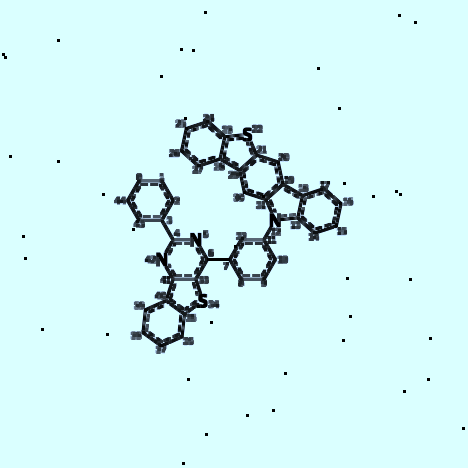 c1ccc(-c2nc(-c3cccc(-n4c5ccccc5c5cc6sc7ccccc7c6cc54)c3)c3sc4ccccc4c3n2)cc1